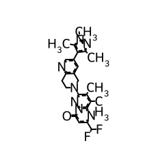 Cc1nn(C)c(C)c1-c1cnc2c(c1)CN(c1nn3c(=O)cc(C(F)F)nc3c(C)c1C)CC2